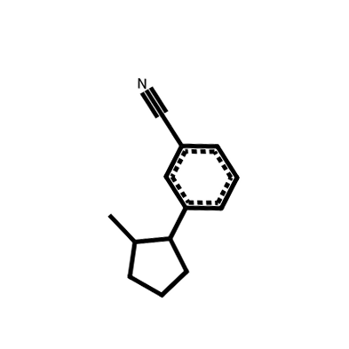 CC1CCCC1c1cccc(C#N)c1